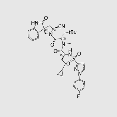 CN(C(=O)[C@H](CCC1CC1)NS(=O)(=O)c1ccn(-c2ccc(F)cc2)n1)[C@@H](CC(C)(C)C)C(=O)N1C[C@]2(C[C@H]1C#N)C(=O)Nc1ccccc12